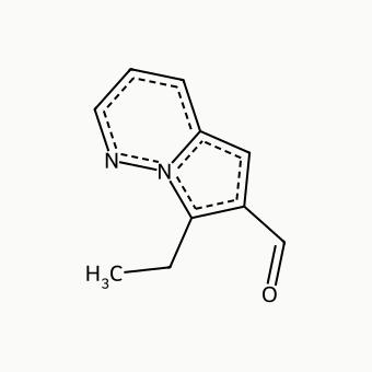 CCc1c(C=O)cc2cccnn12